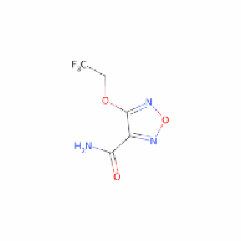 NC(=O)c1nonc1OCC(F)(F)F